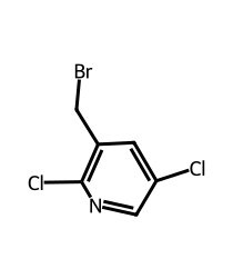 Clc1cnc(Cl)c(CBr)c1